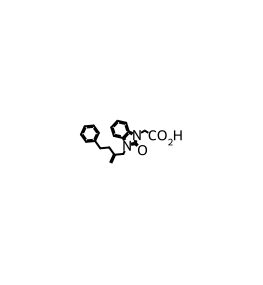 C=C(CCc1ccccc1)Cn1c(=O)n(CC(=O)O)c2ccccc21